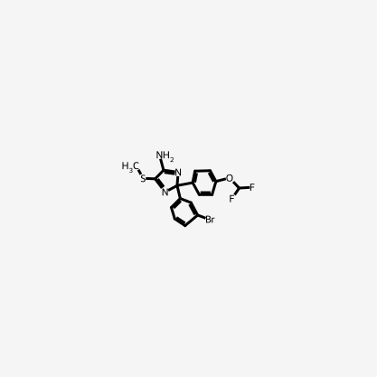 CSC1=NC(c2ccc(OC(F)F)cc2)(c2cccc(Br)c2)N=C1N